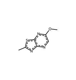 COc1cnc2nc(C)sc2n1